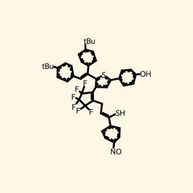 CC(C)(C)c1ccc(/C=C(\c2ccc(C(C)(C)C)cc2)c2sc(-c3ccc(O)cc3)cc2C2=C(C/C=C(\S)c3ccc(N=O)cc3)C(F)(F)C(F)(F)C2(F)F)cc1